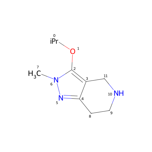 CC(C)Oc1c2c(nn1C)CCNC2